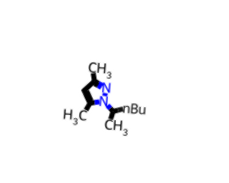 CCCCC(C)n1nc(C)cc1C